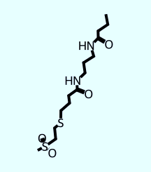 CCCC(=O)NCCCNC(=O)CCCSCCS(C)(=O)=O